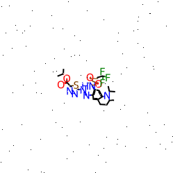 CC(C)OC(=O)c1nnc(N=Nc2cc3c(cc2NS(=O)(=O)CC(F)(F)F)N(C(C)C)C(C)CC3)s1